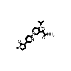 CC(C)n1nc(C(N)=O)c2c1CCN(c1ccc(C3CCN(C)C3=O)cn1)C2